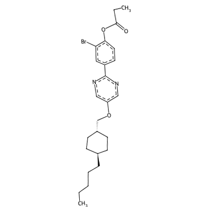 CCCCC[C@H]1CC[C@H](COc2cnc(-c3ccc(OC(=O)CC)c(Br)c3)nc2)CC1